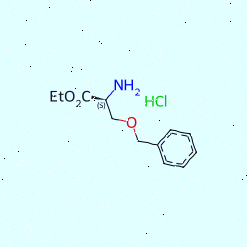 CCOC(=O)[C@@H](N)COCc1ccccc1.Cl